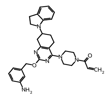 C=CC(=O)N1CCN(c2nc(OCc3cccc(N)c3)nc3c2CCC(N2CCc4ccccc42)C3)CC1